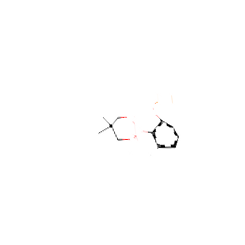 CC1(C)COB(c2c(C=O)cccc2OP)OC1